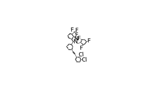 Fc1cc(F)c(Cn2nc3c(C(F)(F)F)cccc3c2-c2cccc(C#Cc3cccc(Cl)c3Cl)c2)c(F)c1